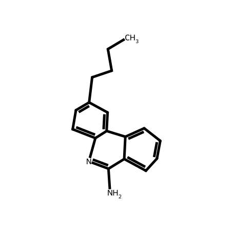 CCCCc1ccc2nc(N)c3ccccc3c2c1